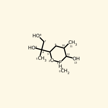 C=[PH]1OC(C(C)(O)CO)CC(C)C1O